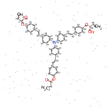 C=CC(=O)Oc1ccc(C=Cc2ccc(N(c3ccc(C=Cc4ccc(OC(=O)C=C)cc4)cc3)c3ccc(C=Cc4ccc(OC(O)C=C)cc4)cc3)cc2)cc1